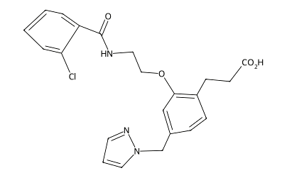 O=C(O)CCc1ccc(Cn2cccn2)cc1OCCNC(=O)c1ccccc1Cl